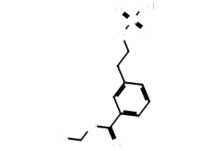 CS(=O)(=O)OCCc1cccc(C(=O)OCO)c1